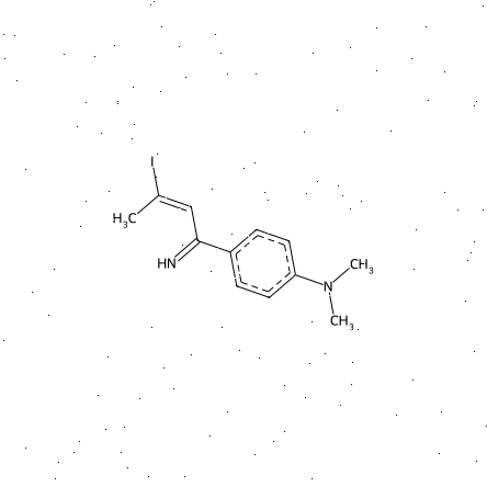 C/C(I)=C\C(=N)c1ccc(N(C)C)cc1